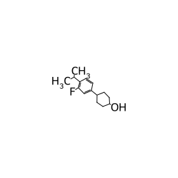 CC(C)c1ccc(C2CCC(O)CC2)cc1F